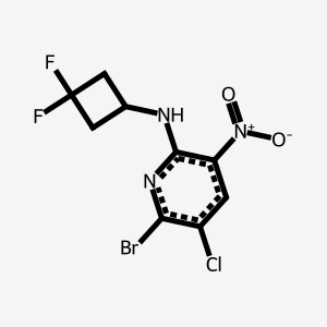 O=[N+]([O-])c1cc(Cl)c(Br)nc1NC1CC(F)(F)C1